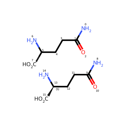 NC(=O)CCC(N)C(=O)O.NC(=O)CC[C@H](N)C(=O)O